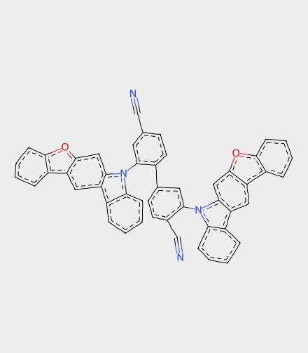 N#Cc1ccc(-c2ccc(C#N)c(-n3c4ccccc4c4cc5c(cc43)oc3ccccc35)c2)c(-n2c3ccccc3c3cc4c(cc32)oc2ccccc24)c1